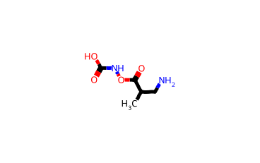 CC(CN)C(=O)ONC(=O)O